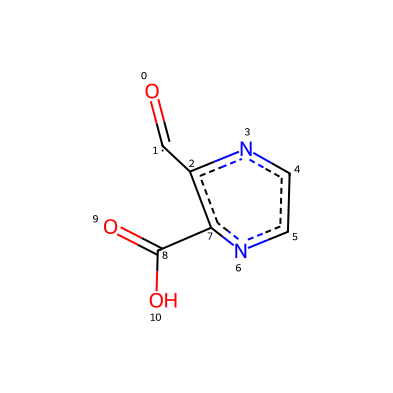 O=[C]c1nccnc1C(=O)O